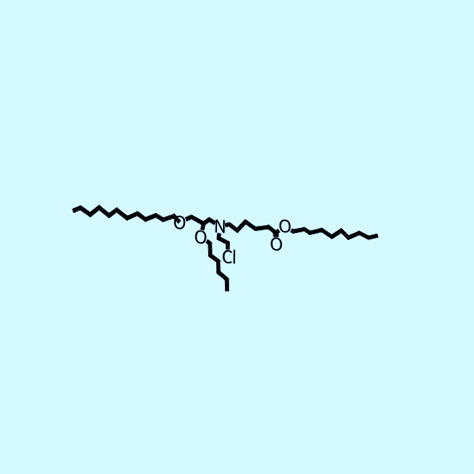 CCCCCCCCCCCCOCC(CN(CCCl)CCCCCC(=O)OCCCCCCCCCC)OCCCCCC